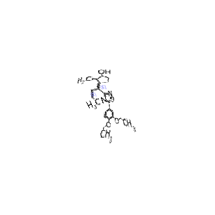 C=C1/C(=C(\C=C/C)c2noc(-c3ccc(OCC)c(OCC)c3)n2)CCC1O